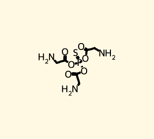 NCC(=O)OP(=S)(OC(=O)CN)OC(=O)CN